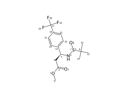 COC(=O)C[C@H](N[S+]([O-])C(C)(C)C)c1ccc(C(F)(F)F)cc1